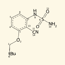 CC(C)(C)COc1cccc(NS(N)(=O)=O)c1C#N